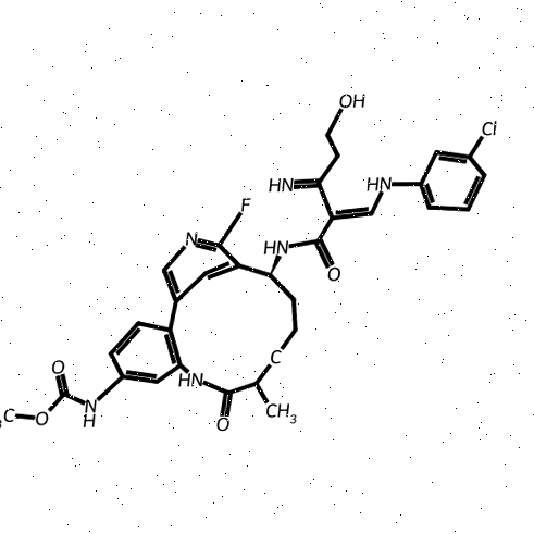 COC(=O)Nc1ccc2c(c1)NC(=O)C(C)CCC[C@H](NC(=O)/C(=C/Nc1cccc(Cl)c1)C(=N)CCO)c1cc-2cnc1F